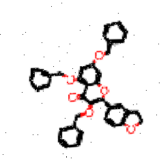 O=c1c(OCc2ccccc2)c(-c2ccc3c(c2)CCO3)oc2cc(OCc3ccccc3)cc(OCc3ccccc3)c12